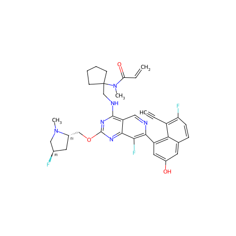 C#Cc1c(F)ccc2cc(O)cc(-c3ncc4c(NCC5(N(C)C(=O)C=C)CCCC5)nc(OC[C@@H]5C[C@@H](F)CN5C)nc4c3F)c12